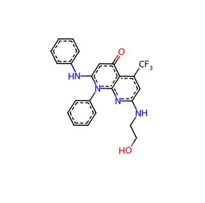 O=c1cc(Nc2ccccc2)n(-c2ccccc2)c2nc(NCCO)cc(C(F)(F)F)c12